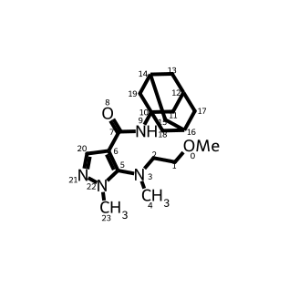 COCCN(C)c1c(C(=O)NC23CC4CC(CC(C4)C2)C3)cnn1C